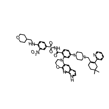 CC1(C)CCC(CN2CCN(c3ccc(C(=O)NS(=O)(=O)c4ccc(NCC5CCOCC5)c([N+](=O)[O-])c4)c(N4CCOc5nc6[nH]ccc6cc54)c3)CC2)=C(c2ccccn2)C1